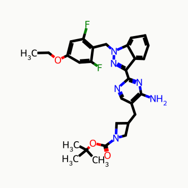 CCOc1cc(F)c(Cn2nc(-c3ncc(CC4CN(C(=O)OC(C)(C)C)C4)c(N)n3)c3ccccc32)c(F)c1